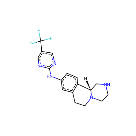 FC(F)(F)c1cnc(Nc2ccc3c(c2)CCN2CCNC[C@@H]32)nc1